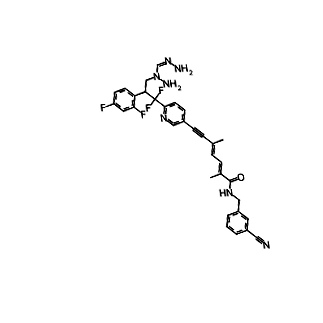 C/C(C#Cc1ccc(C(F)(F)C(CN(N)/C=N\N)c2ccc(F)cc2F)nc1)=C\C=C(/C)C(=O)NCc1cccc(C#N)c1